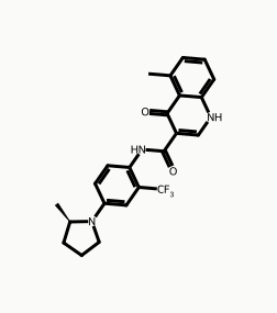 Cc1cccc2[nH]cc(C(=O)Nc3ccc(N4CCC[C@H]4C)cc3C(F)(F)F)c(=O)c12